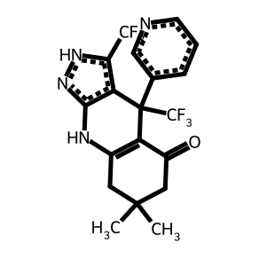 CC1(C)CC(=O)C2=C(C1)Nc1n[nH]c(C(F)(F)F)c1C2(c1cccnc1)C(F)(F)F